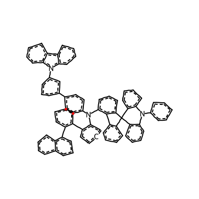 c1ccc(N2c3ccccc3C3(c4ccccc4-c4c(N(c5ccc(-c6cccc(-n7c8ccccc8c8ccccc87)c6)cc5)c5ccccc5-c5ccccc5-c5cccc6ccccc56)cccc43)c3ccccc32)cc1